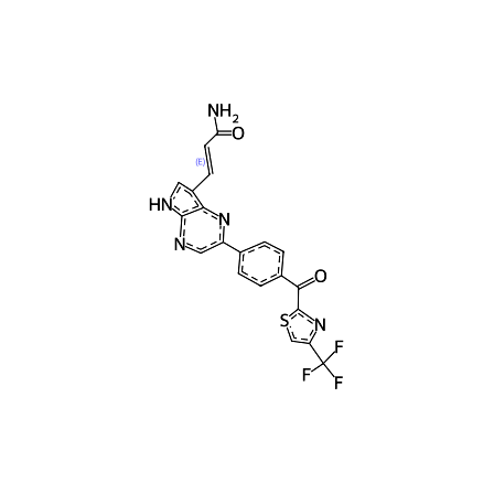 NC(=O)/C=C/c1c[nH]c2ncc(-c3ccc(C(=O)c4nc(C(F)(F)F)cs4)cc3)nc12